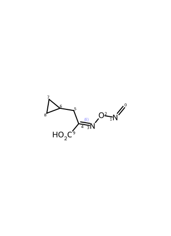 C=NO/N=C(\CC1CC1)C(=O)O